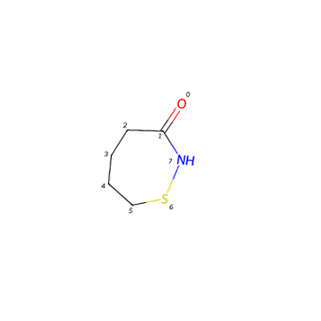 O=C1CCCCSN1